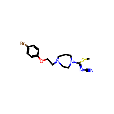 CSC(=NC#N)N1CCCN(CCOc2ccc(Br)cc2)CC1